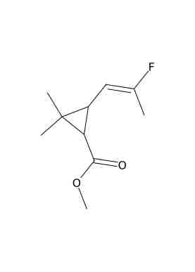 COC(=O)C1C(/C=C(\C)F)C1(C)C